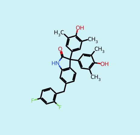 Cc1cc(C2(c3cc(C)c(O)c(C)c3)C(=O)Nc3cc(Cc4ccc(F)cc4F)ccc32)cc(C)c1O